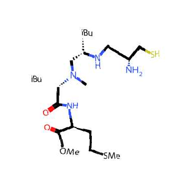 CC[C@H](C)[C@@H](C(=O)N[C@@H](CCSC)C(=O)OC)N(C)C[C@@H](NC[C@@H](N)CS)[C@@H](C)CC